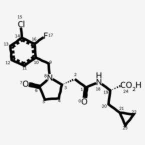 O=C(C[C@@H]1CCC(=O)N1Cc1cccc(Cl)c1F)N[C@@H](CC1CC1)C(=O)O